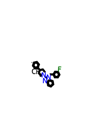 Fc1cccc(Cn2c(N3CCC(c4cc[c]cc4C(F)(F)F)CC3)nc3ccccc32)c1